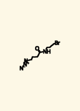 [N-]=[N+]=NCCCC(=O)NCCCBr